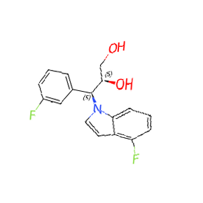 OC[C@@H](O)[C@H](c1cccc(F)c1)n1ccc2c(F)cccc21